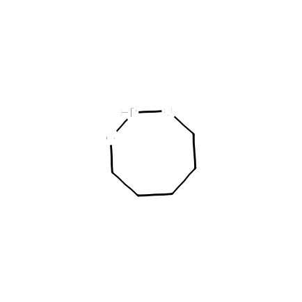 C1CCOPOCC1